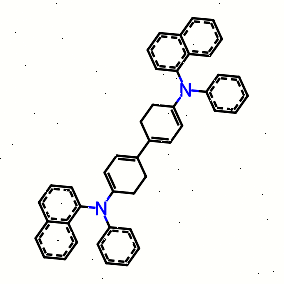 C1=C(C2=CC=C(N(c3ccccc3)c3cccc4ccccc34)CC2)CCC(N(c2ccccc2)c2cccc3ccccc23)=C1